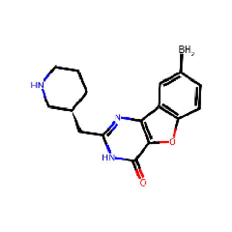 Bc1ccc2oc3c(=O)[nH]c(C[C@@H]4CCCNC4)nc3c2c1